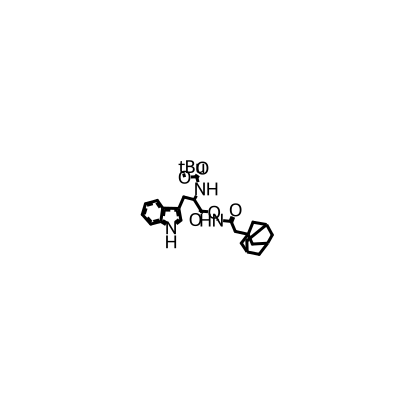 CC(C)(C)OC(=O)NC(Cc1c[nH]c2ccccc12)C(=O)ONC(=O)CC12CC3CC(CC(C3)C1)C2